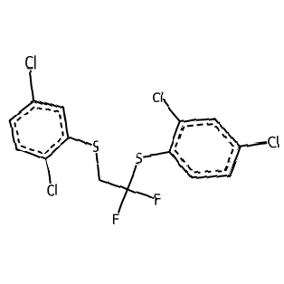 FC(F)(CSc1cc(Cl)ccc1Cl)Sc1ccc(Cl)cc1Cl